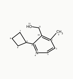 Cc1ccnc(C2CCC2)c1CO